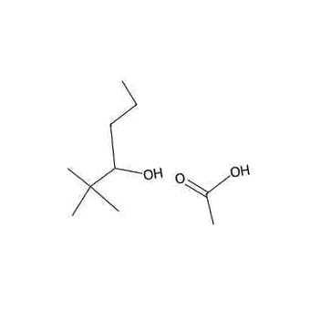 CC(=O)O.CCCC(O)C(C)(C)C